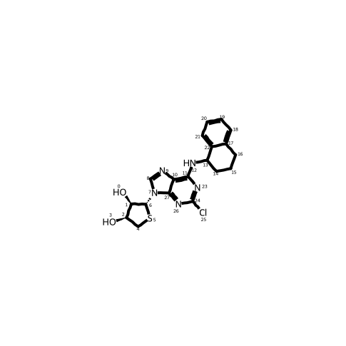 O[C@@H]1[C@H](O)CS[C@H]1n1cnc2c(NC3CCCc4ccccc43)nc(Cl)nc21